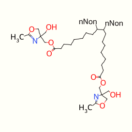 CCCCCCCCCC(CCCCCCCC(=O)OCC1(CO)COC(C)=N1)C(CCCCCCCCC)CCCCCCCC(=O)OCC1(CO)COC(C)=N1